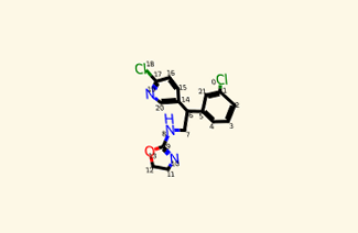 Clc1cccc(C(CNC2=NCCO2)c2ccc(Cl)nc2)c1